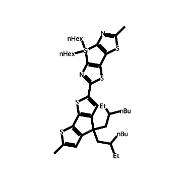 CCCCCC[Si]1(CCCCCC)c2nc(C)sc2-c2sc(-c3cc4c(s3)-c3sc(C)cc3C4(CC(CC)CCCC)CC(CC)CCCC)nc21